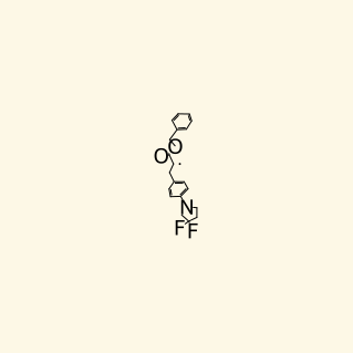 O=C([CH]Cc1ccc(N2CCC(F)(F)C2)cc1)OCc1ccccc1